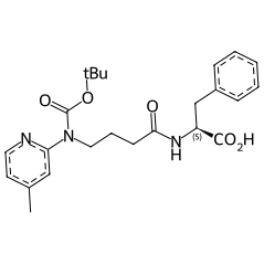 Cc1ccnc(N(CCCC(=O)N[C@@H](Cc2ccccc2)C(=O)O)C(=O)OC(C)(C)C)c1